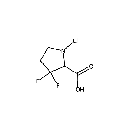 O=C(O)C1N(Cl)CCC1(F)F